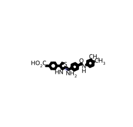 Cc1ccc(NC(=O)c2ccc(/C(N)=C3\SCC(C4CCC(CC(=O)O)CC4)C3=N)cc2)cc1C